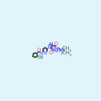 CN(C)CCNC(=O)c1ncn(-c2ccc(NC(=O)c3ccccc3Cl)nc2)c1C(N)=O